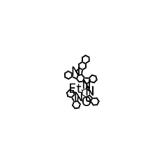 CCC1C(n2c3ccccc3c3c4c5cc6ccccc6cc5n5c6ccccc6c(cc32)c45)=Nc2c(oc3ccccc23)C1n1c2ccccc2c2ccccc21